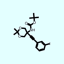 CC(C)(C)OC(=O)NC1(C#Cc2cccc(I)c2)COC(C)(C)OC1